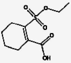 CCOS(=O)(=O)C1=C(C(=O)O)CCCC1